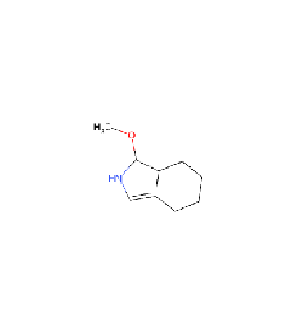 COC1NC=C2CCCCC21